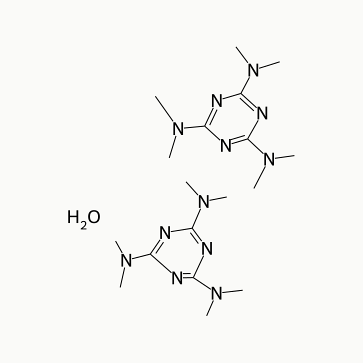 CN(C)c1nc(N(C)C)nc(N(C)C)n1.CN(C)c1nc(N(C)C)nc(N(C)C)n1.O